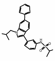 CC(C)Cn1cc(-c2cccc(NS(=O)(=O)C(C)C)c2)c2ccc(-c3ccccc3)cc21